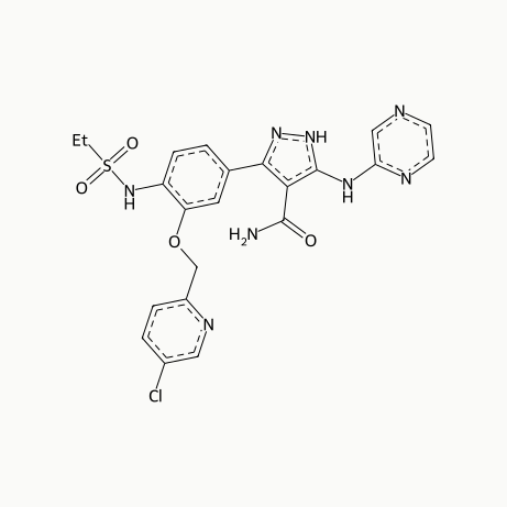 CCS(=O)(=O)Nc1ccc(-c2n[nH]c(Nc3cnccn3)c2C(N)=O)cc1OCc1ccc(Cl)cn1